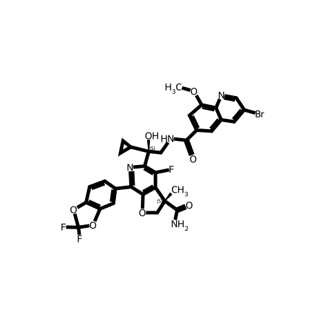 COc1cc(C(=O)NC[C@](O)(c2nc(-c3ccc4c(c3)OC(F)(F)O4)c3c(c2F)[C@](C)(C(N)=O)CO3)C2CC2)cc2cc(Br)cnc12